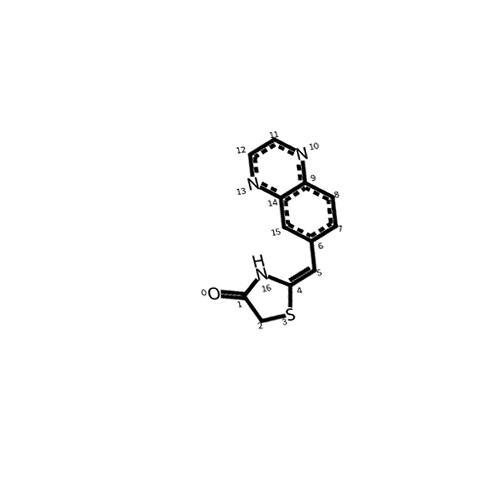 O=C1CSC(=Cc2ccc3nccnc3c2)N1